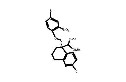 COC(OC)[C@]1(COc2ccc(Br)cc2[N+](=O)[O-])CCCc2cc(Cl)ccc21